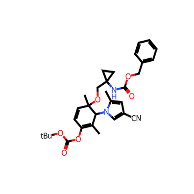 CC1=C(OC(=O)OC(C)(C)C)C=CC(C)(OCC2(NC(=O)OCc3ccccc3)CC2)C1n1cc(C#N)cc1C